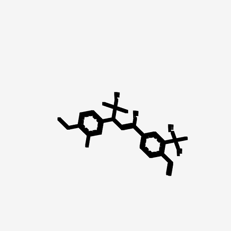 C=Cc1ccc(/C(F)=C/C(c2ccc(CC)c(C)c2)C(C)(C)F)cc1C(C)(F)F